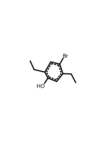 CCc1cc(Br)c(CC)cc1O